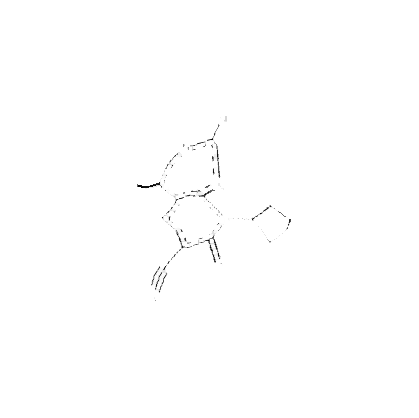 Cc1nc(N)nc2c1cc(C#N)c(=O)n2C1CCC1